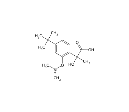 C[SiH](C)Oc1cc(C(C)(C)C)ccc1C(C)(O)C(=O)O